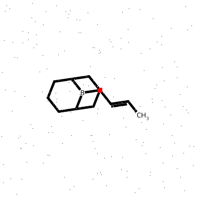 CC=CCB1C2CCCC1CCC2